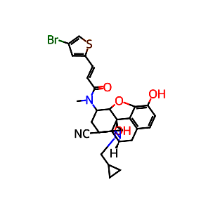 CN(C(=O)/C=C/c1cc(Br)cs1)C1CC[C@@]2(O)[C@H]3Cc4ccc(O)c5c4[C@@]2(CC(C#N)N3CC2CC2)C1O5